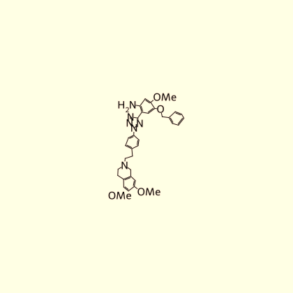 COc1cc2c(cc1OC)CN(CCc1ccc(-n3nnc(-c4cc(OCc5ccccc5)c(OC)cc4N)n3)cc1)CC2